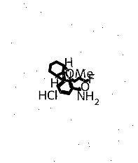 CO[C@@]1(c2cccc(C(N)=O)c2)[C@@H]2CCC[C@H]1CN(CCCF)C2.Cl